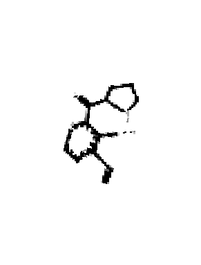 C=Cc1ccnc(C(=O)C2CCCN2)c1CCCCCC